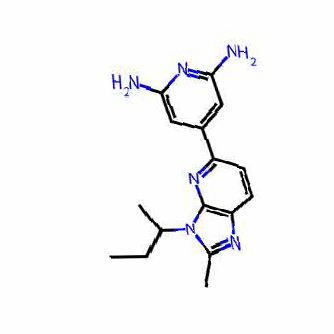 CCC(C)n1c(C)nc2ccc(-c3cc(N)nc(N)c3)nc21